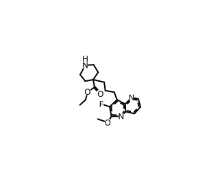 CCOC(=O)C1(CCCc2c(F)c(OC)nc3cccnc23)CCNCC1